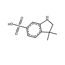 CC1(C)CNc2cc(S(=O)(=O)O)ccc21